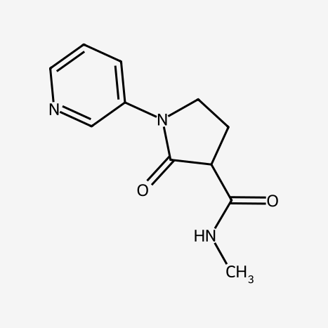 CNC(=O)C1CCN(c2cccnc2)C1=O